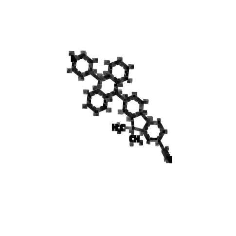 CC1(C)c2cc(C#N)ccc2-c2ccc(-c3c4ccccc4c(-c4ccncc4)c4ccccc34)cc21